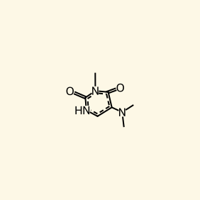 CN(C)c1c[nH]c(=O)n(C)c1=O